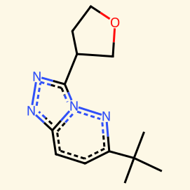 CC(C)(C)c1ccc2nnc(C3CCOC3)n2n1